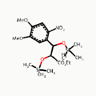 CCOC(=O)C(O[Si](C)(C)C)C(O[Si](C)(C)C)c1cc(OC)c(OC)cc1[N+](=O)[O-]